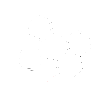 Nc1cccc2c1oc1ccc3cccc(-c4ccccc4)c3c12